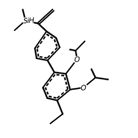 C=C(c1ccc(-c2ccc(CC)c(OC(C)C)c2OC(C)C)cc1)[SiH](C)C